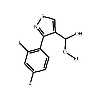 CCOC(O)c1csnc1-c1ccc(F)cc1I